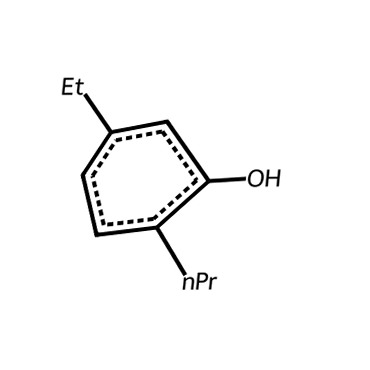 CCCc1ccc(CC)cc1O